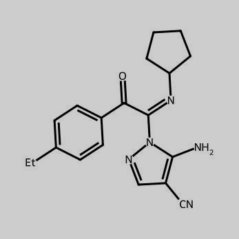 CCc1ccc(C(=O)C(=NC2CCCC2)n2ncc(C#N)c2N)cc1